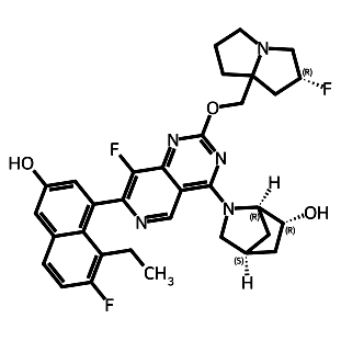 CCc1c(F)ccc2cc(O)cc(-c3ncc4c(N5C[C@@H]6C[C@@H](O)[C@H]5C6)nc(OCC56CCCN5C[C@H](F)C6)nc4c3F)c12